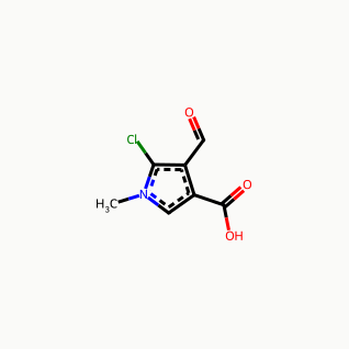 Cn1cc(C(=O)O)c(C=O)c1Cl